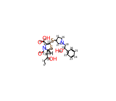 CC[C@H](O)[C@@H]1C(=O)N2C(C(=O)O)=C(SC3CCN(CC(O)c4ccccc4)C3)S[C@H]12